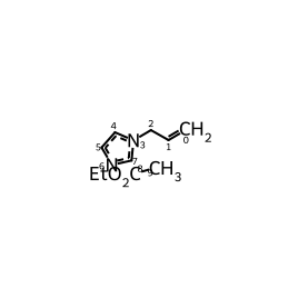 C=CCn1ccnc1.CCOC(C)=O